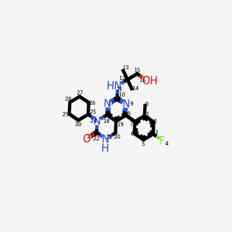 Cc1cc(F)ccc1-c1nc(NC(C)(C)CO)nc2c1CNC(=O)N2C1CCCCC1